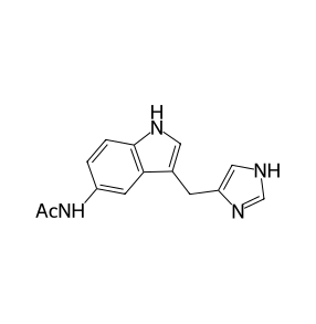 CC(=O)Nc1ccc2[nH]cc(Cc3c[nH]cn3)c2c1